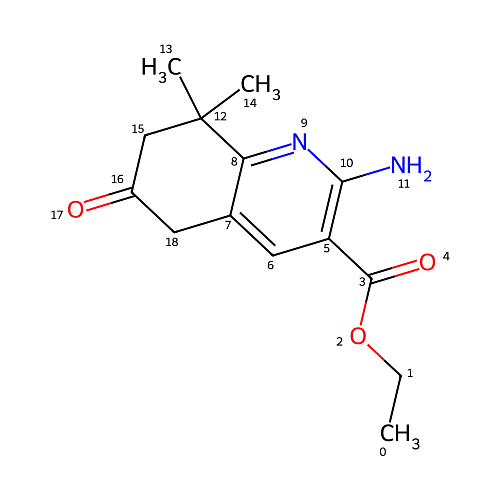 CCOC(=O)c1cc2c(nc1N)C(C)(C)CC(=O)C2